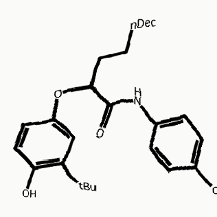 CCCCCCCCCCCCC(Oc1ccc(O)c(C(C)(C)C)c1)C(=O)Nc1c[c]c(Cl)cc1